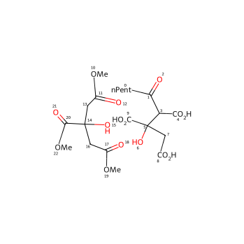 CCCCCC(=O)C(C(=O)O)C(O)(CC(=O)O)C(=O)O.COC(=O)CC(O)(CC(=O)OC)C(=O)OC